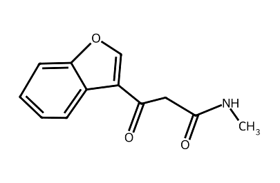 CNC(=O)CC(=O)c1coc2ccccc12